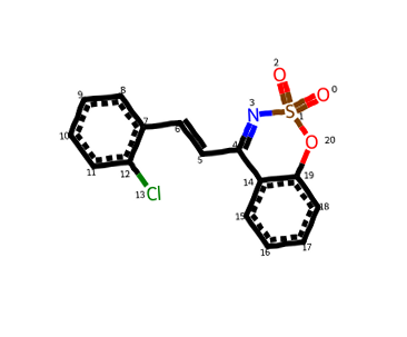 O=S1(=O)N=C(C=Cc2ccccc2Cl)c2ccccc2O1